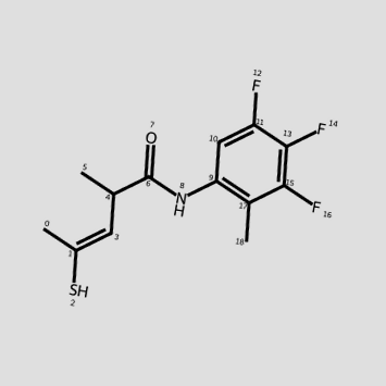 C/C(S)=C\C(C)C(=O)Nc1cc(F)c(F)c(F)c1C